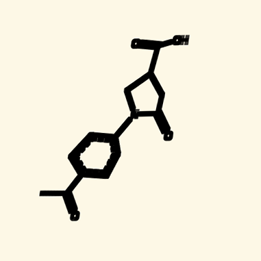 CC(=O)c1ccc(N2CC(C(=O)O)CC2=O)cc1